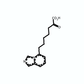 O=C(O)C(=O)CCCCCc1cccc2cncn12